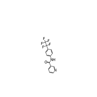 O=C(Nc1ccc(C(F)(F)C(F)(F)F)cc1)c1cccnc1